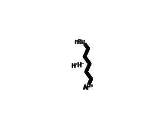 CCCCCCCC[CH2][Al+2].[H-].[H-]